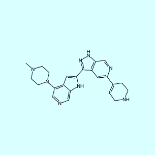 CN1CCN(c2cncc3[nH]c(-c4n[nH]c5cnc(C6=CCNCC6)cc45)cc23)CC1